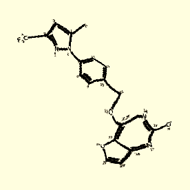 Cc1cc(C(F)(F)F)nn1-c1ccc(COc2nc(Cl)nc3ccoc23)cc1